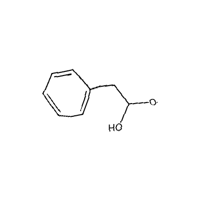 [O]C(O)Cc1ccccc1